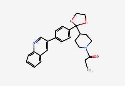 CCC(=O)N1CCC(C2(c3ccc(-c4cnc5ccccc5c4)cc3)OCCO2)CC1